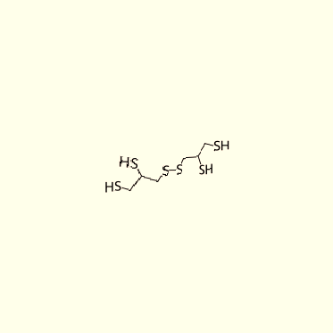 SCC(S)CSSCC(S)CS